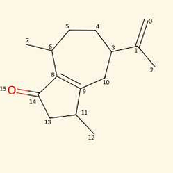 C=C(C)C1CCC(C)C2=C(C1)C(C)CC2=O